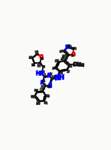 COc1cc(Nc2nc(NCC3CCCO3)nc(-c3ccccc3)n2)ccc1-c1cnco1